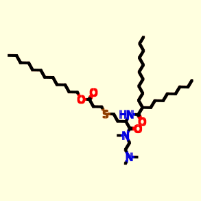 CCCCCCCCCCCCOC(=O)CCSCCC(NC(=O)C(CCCCCCCC)CCCCCCCCCC)C(=O)N(C)CCN(C)C